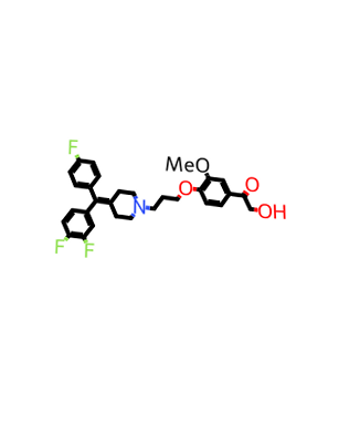 COc1cc(C(=O)CO)ccc1OCCCN1CCC(=C(c2ccc(F)cc2)c2ccc(F)c(F)c2)CC1